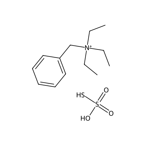 CC[N+](CC)(CC)Cc1ccccc1.O=S(=O)(O)S